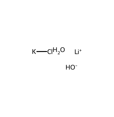 O.[Cl][K].[Li+].[OH-]